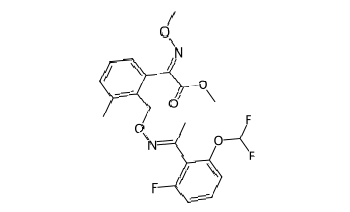 CO/N=C(/C(=O)OC)c1cccc(C)c1CO/N=C(\C)c1c(F)cccc1OC(F)F